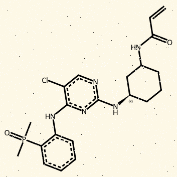 C=CC(=O)NC1CCC[C@@H](Nc2ncc(Cl)c(Nc3ccccc3P(C)(C)=O)n2)C1